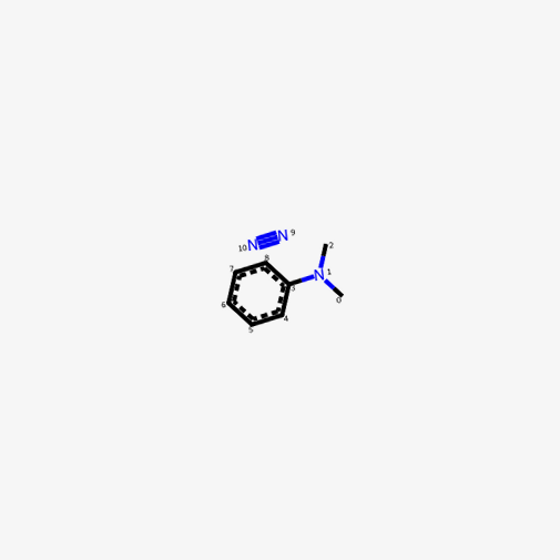 CN(C)c1ccccc1.N#N